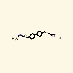 C/C=C\COCC1CCC(C2CCC(COC/C=C/C)CC2)CC1